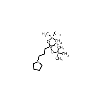 C[Si](C)(C)O[Si](C)(CCCN1CCCC1)O[Si](C)(C)C